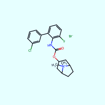 C[N+]1(C)C2CCC1CC(OC(=O)Nc1c(F)cccc1-c1cccc(Cl)c1)C2.[Br-]